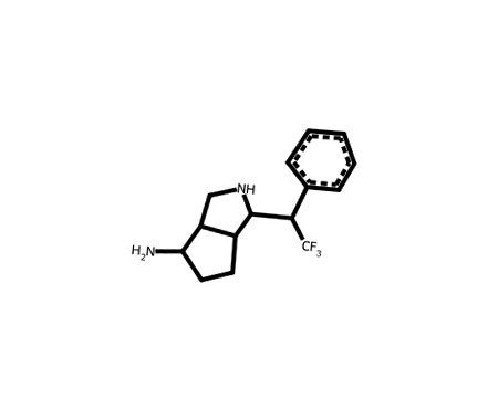 NC1CCC2C1CNC2C(c1ccccc1)C(F)(F)F